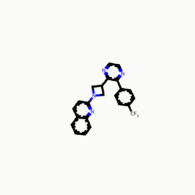 FC(F)(F)c1ccc(-c2nccnc2C2CN(c3ccc4ccccc4n3)C2)cc1